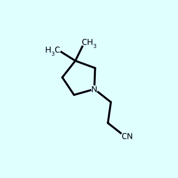 CC1(C)CCN(CCC#N)C1